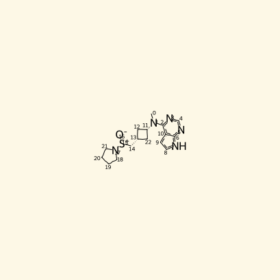 CN(c1ncnc2[nH]ccc12)[C@H]1C[C@@H](C[S+]([O-])N2CCCC2)C1